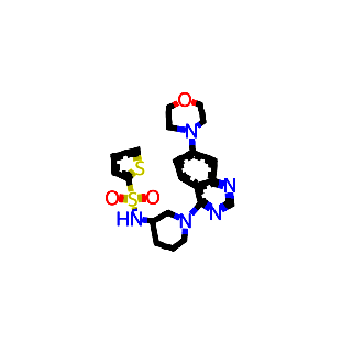 O=S(=O)(NC1CCCN(c2ncnc3cc(N4CCOCC4)ccc23)C1)c1cccs1